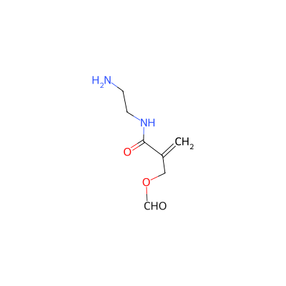 C=C(COC=O)C(=O)NCCN